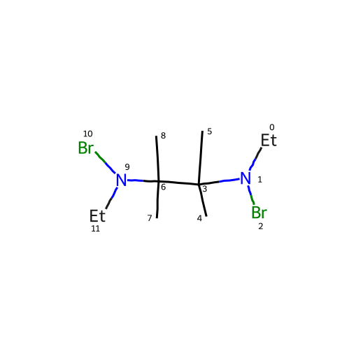 CCN(Br)C(C)(C)C(C)(C)N(Br)CC